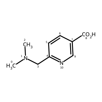 CN(C)Cc1ccc(C(=O)O)cn1